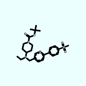 CCN(Cc1ccc(-c2ccc(S(C)(=O)=O)cc2)nc1)C1CCN(C(=O)OC(C)(C)C)CC1